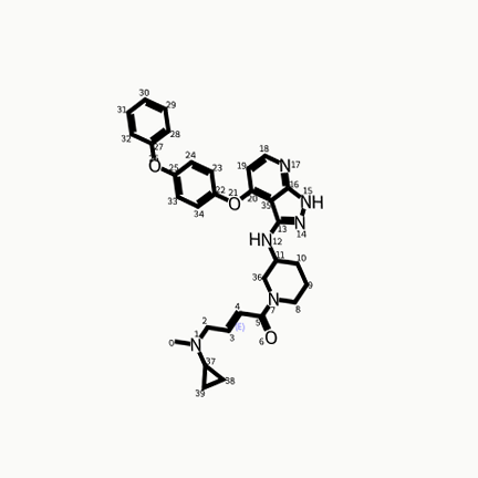 CN(C/C=C/C(=O)N1CCCC(Nc2n[nH]c3nccc(Oc4ccc(Oc5ccccc5)cc4)c23)C1)C1CC1